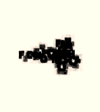 CCn1nccc1C(=O)NC(C(=O)Nc1ccc(C(C)C(=O)N2CC(C(F)(F)F)C2)cc1F)C(C1CCCCC1)C1CCCCC1